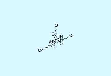 COCCCCCCNC(=O)CC(CCC(=O)NCCCCCOC)NC(=O)CNC(=O)CCCCOC